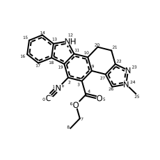 [C-]#[N+]c1c(C(=O)OCC)c2c(c3[nH]c4ccccc4c13)CCc1nn(C)cc1-2